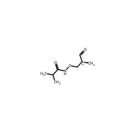 CC(C)C(=O)NOC[C@H](C)C=O